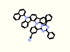 N#Cc1ccc(-n2c3ccccc3c3ccc4c(c5ccccc5n4-c4cccc5ccccc45)c32)c(-c2nc(-c3ccccc3)nc(-c3ccccc3)n2)c1